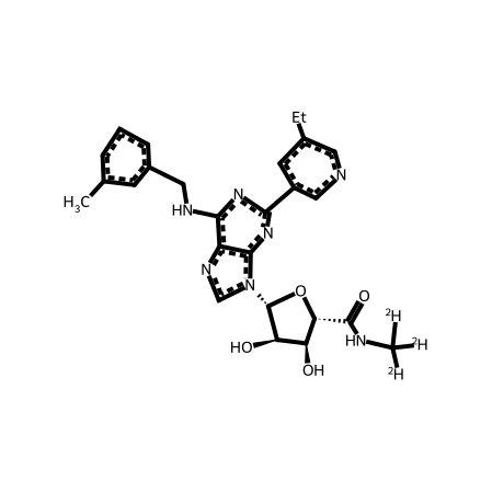 [2H]C([2H])([2H])NC(=O)[C@H]1O[C@@H](n2cnc3c(NCc4cccc(C)c4)nc(-c4cncc(CC)c4)nc32)[C@H](O)[C@@H]1O